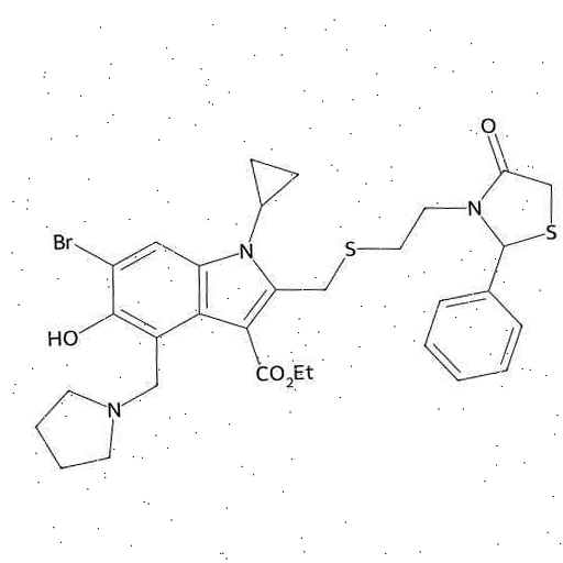 CCOC(=O)c1c(CSCCN2C(=O)CSC2c2ccccc2)n(C2CC2)c2cc(Br)c(O)c(CN3CCCC3)c12